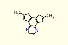 CC1=Cc2c(c3c(c4nccnc24)C=C(C)C3)C1